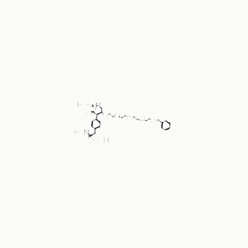 Cn1ncc(OCCOCCOCCOCCOCc2ccccc2)c(-c2ccc(C[C@H](N)C(=O)O)cc2)c1=O